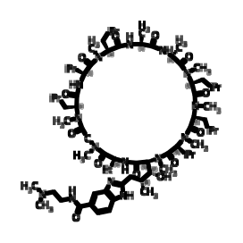 CC[C@@H]1NC(=O)[C@H]([C@H](O)[C@H](C)Cc2nc3cc(C(=O)NCCN(C)C)ccc3[nH]2)N(C)C(=O)[C@H](C(C)C)N(C)C(=O)[C@H](CC(C)C)N(C)C(=O)[C@H](CC(C)C)N(C)C(=O)[C@@H](C)NC(=O)[C@H](C)NC(=O)[C@H](CC(C)C)N(C)C(=O)[C@H](C(C)C)NC(=O)[C@H](CC(C)C)N(C)C(=O)CN(C)C1=O